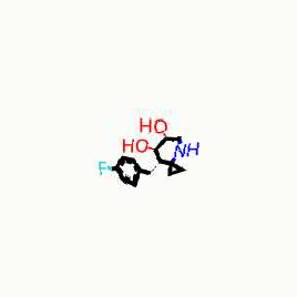 O[C@H]1[C@H](O)CNC2(CC2)[C@@H]1Cc1ccc(F)cc1